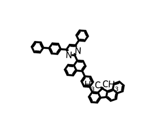 CC1(C)c2c(-c3ccc(-c4ccc(-c5nc(-c6ccccc6)cc(-c6ccc(-c7ccccc7)cc6)n5)c5ccccc45)cc3)cccc2-c2ccc3ccccc3c21